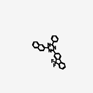 FC1(F)c2ccccc2-c2ccc(-c3nc(-c4ccccc4)nc(-c4ccc5ccccc5c4)n3)cc21